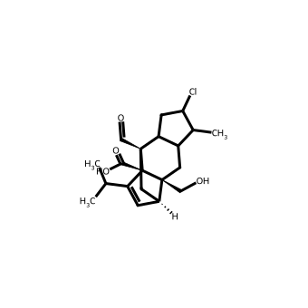 CC(C)C1=C[C@H]2C[C@]3(C=O)C4CC(Cl)C(C)C4C[C@@]2(CO)[C@]13C(=O)O